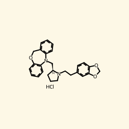 Cl.c1ccc2c(c1)COc1ccccc1N2C[C@@H]1CCCN1CCc1ccc2c(c1)OCO2